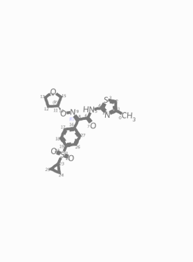 Cc1csc(NC(=O)/C(=N/O[C@@H]2CCOC2)c2ccc(S(=O)(=O)C3CC3)cc2)n1